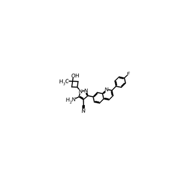 CC1(O)CC(n2nc(-c3ccc4ccc(-c5ccc(F)cc5)nc4c3)c(C#N)c2N)C1